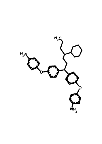 CCCC(CCC(c1ccc(Oc2ccc(N)cc2)cc1)c1ccc(Oc2ccc(N)cc2)cc1)C1CCCCC1